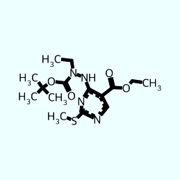 CCOC(=O)c1cnc(SC)nc1NN(CC)C(=O)OC(C)(C)C